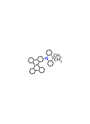 CC1(C)c2ccccc2N(c2ccc3c4ccccc4c4c5ccccc5c5ccccc5c4c3c2)c2ccccc21